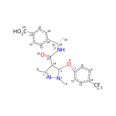 CC1=NN(C)C(Oc2ccc(C(F)(F)F)cc2)C1C(=O)N[C@@H](C)c1ccc(C(=O)O)cc1